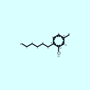 CCCCCCc1ccc(C)cc1Cl